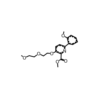 COCCOCCOc1ccc(-c2ccccc2OC)nc1C(=O)OC